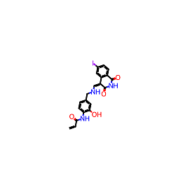 C=CC(=O)Nc1ccc(CN/C=C2\C(=O)NC(=O)c3ccc(I)cc32)cc1O